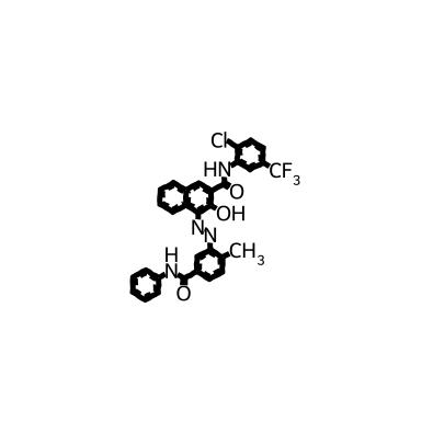 Cc1ccc(C(=O)Nc2ccccc2)cc1N=Nc1c(O)c(C(=O)Nc2cc(C(F)(F)F)ccc2Cl)cc2ccccc12